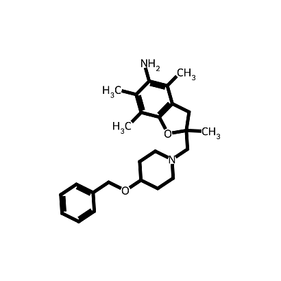 Cc1c(C)c2c(c(C)c1N)CC(C)(CN1CCC(OCc3ccccc3)CC1)O2